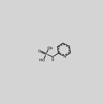 O=P(O)(O)Nc1ccccn1